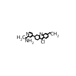 C=Cc1ccc2c(Cl)c3c(nc2c1)CC(c1ccnc(C(=C)N)c1)CC3